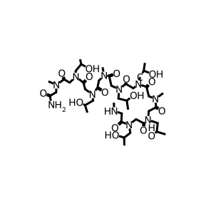 CNCC(=O)N(CC(=O)N(CC(=O)N(C)CC(=O)N(CC(=O)N(CC(=O)N(C)CC(=O)N(CC(=O)N(CC(=O)N(C)CC(N)=O)CC(C)O)CC(C)O)CC(C)O)CC(C)O)CC(C)O)CC(C)O